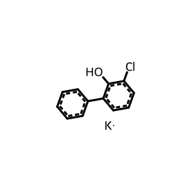 Oc1c(Cl)cccc1-c1ccccc1.[K]